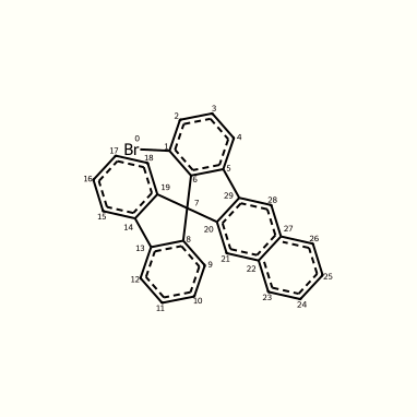 Brc1cccc2c1C1(c3ccccc3-c3ccccc31)c1cc3ccccc3cc1-2